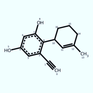 C#Cc1cc(O)cc(O)c1C1C=C(C)CCC1